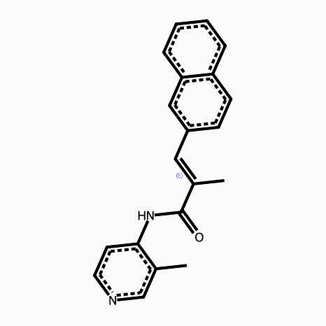 C/C(=C\c1ccc2ccccc2c1)C(=O)Nc1ccncc1C